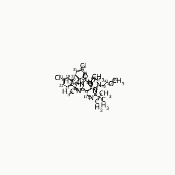 CCOc1nc(C(C)(C)C)ncc1C1=N[C@@](C)(c2ccc(Cl)cc2)[C@@](C)(c2ccc(Cl)cc2)N1C(=O)N1CCN(CCOC)CC1